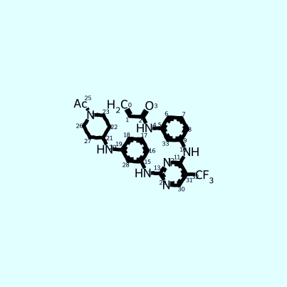 C=CC(=O)Nc1cccc(Nc2nc(Nc3cccc(NC4CCN(C(C)=O)CC4)c3)ncc2C(F)(F)F)c1